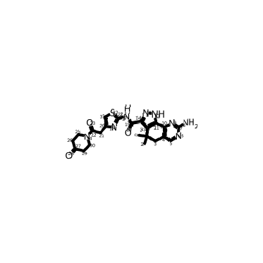 CC1(C)Cc2cnc(N)nc2-c2[nH]nc(C(=O)Nc3nc(CC(=O)N4CCC(=O)CC4)cs3)c21